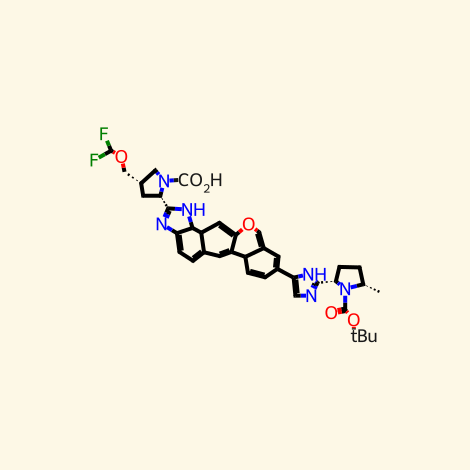 C[C@H]1CC[C@@H](c2ncc(C3=CC4=COC5=CC6C(=CC=C7N=C([C@@H]8C[C@H](COC(F)F)CN8C(=O)O)NC76)C=C5C4C=C3)[nH]2)N1C(=O)OC(C)(C)C